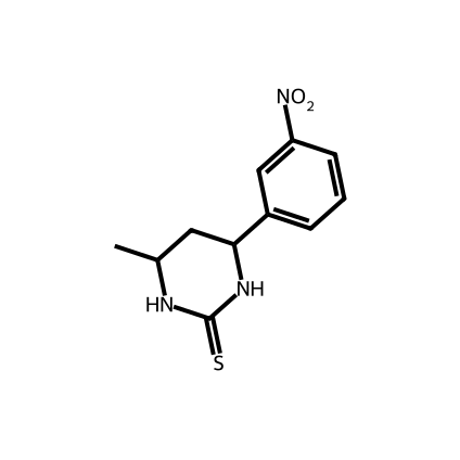 CC1CC(c2cccc([N+](=O)[O-])c2)NC(=S)N1